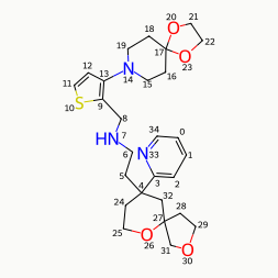 c1ccc(C2(CCNCc3sccc3N3CCC4(CC3)OCCO4)CCOC3(CCOC3)C2)nc1